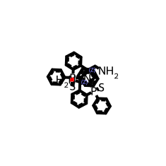 N/C=C(\N=C(/N)c1ccccc1P(=S)(c1ccccc1)c1ccccc1)c1ccccc1P(=S)(c1ccccc1)c1ccccc1